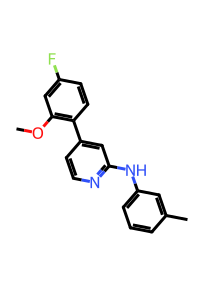 COc1cc(F)ccc1-c1ccnc(Nc2cccc(C)c2)c1